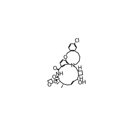 C[C@@H]1C/C=C/[C@H](O)[C@@H]2CC[C@H]2CN2CCCCc3cc(Cl)ccc3COc3ccc(cc32)C(=O)NS(=O)(=O)[C@@H]1C[C@H]1CCO1